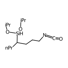 CCCC(CCCN=C=O)[SiH](OC(C)C)OC(C)C